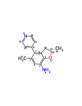 Cc1cc(N)c2c(c1-c1ccncc1)C[C@H](C)O2